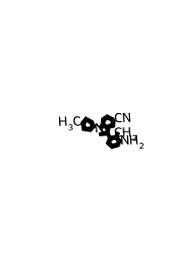 Cc1ccc(-n2cc(-c3cccc(N)c3C)c3cc(C#N)ccc32)cc1